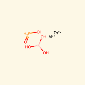 O=[PH2]O.OB(O)O.[Al+3].[Zn+2]